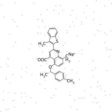 Cc1ccc([C@H](C)Oc2ccc(C)c3nc(-c4sc5ccccc5c4C)cc(C(=O)[O-])c23)cc1.[Na+]